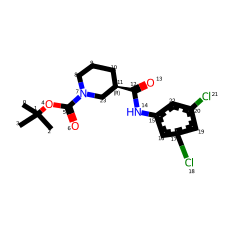 CC(C)(C)OC(=O)N1CCC[C@@H](C(=O)Nc2cc(Cl)cc(Cl)c2)C1